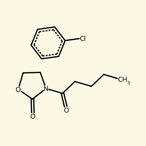 CCCCC(=O)N1CCOC1=O.Clc1ccccc1